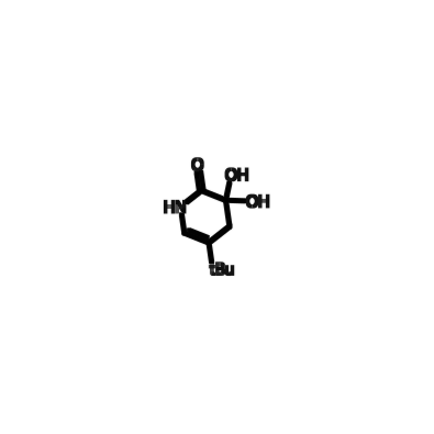 CC(C)(C)C1=CNC(=O)C(O)(O)C1